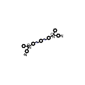 CN(C)c1ccc(-c2nc(-c3ccc(/C=C/c4ccc(/C=C/c5ccc(-c6nc(-c7ccc(N(C)C)cc7)c(-c7ccccc7)o6)cc5)cc4)cc3)oc2-c2ccccc2)cc1